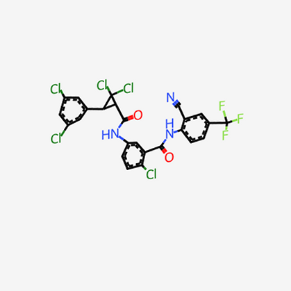 N#Cc1cc(C(F)(F)F)ccc1NC(=O)c1cc(NC(=O)C2C(c3cc(Cl)cc(Cl)c3)C2(Cl)Cl)ccc1Cl